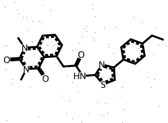 CCc1ccc(-c2csc(NC(=O)Cc3cccc4c3c(=O)n(C)c(=O)n4C)n2)cc1